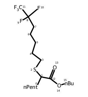 CCCCCC(SCCCCCC(F)(F)C(F)(F)F)C(=O)OCCCC